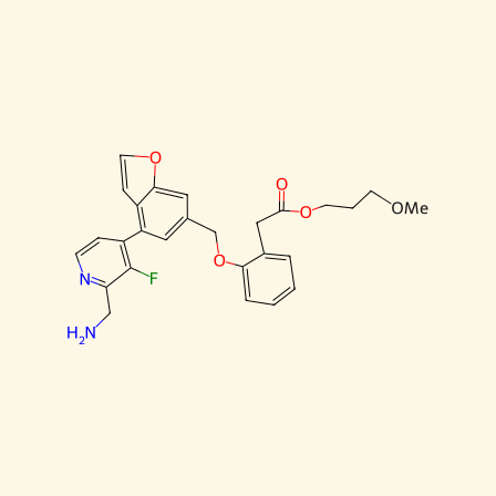 COCCCOC(=O)Cc1ccccc1OCc1cc(-c2ccnc(CN)c2F)c2ccoc2c1